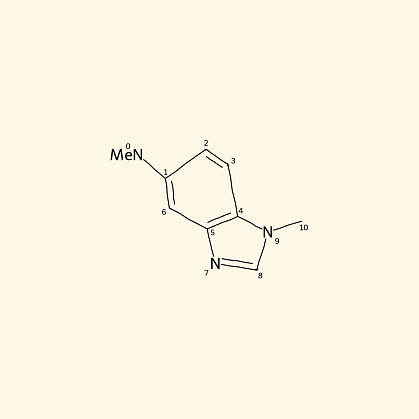 CNc1ccc2c(c1)ncn2C